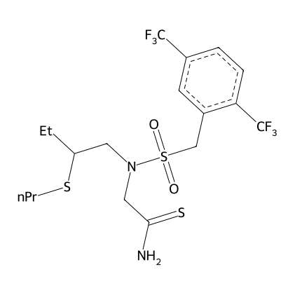 CCCSC(CC)CN(CC(N)=S)S(=O)(=O)Cc1cc(C(F)(F)F)ccc1C(F)(F)F